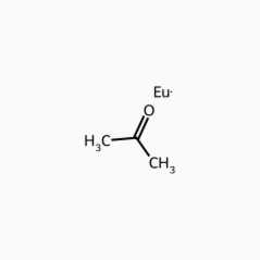 CC(C)=O.[Eu]